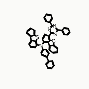 c1ccc(-c2ccc(N(c3cccc4c3sc3ccccc34)c3ccc(-c4nc(-c5ccccc5)nc(-c5ccccc5)n4)c4oc5ccccc5c34)cc2)cc1